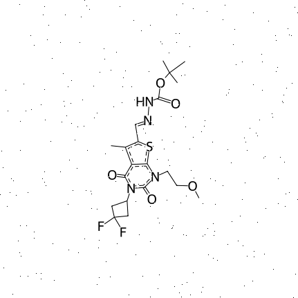 COCCn1c(=O)n(C2CC(F)(F)C2)c(=O)c2c(C)c(C=NNC(=O)OC(C)(C)C)sc21